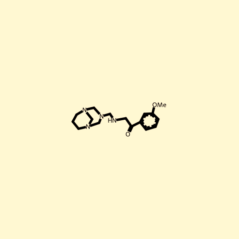 COc1cccc(C(=O)CNCN2CN3CCCN(C3)C2)c1